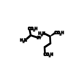 CC(C)C(N)C(=O)O.N[C@@H](CCC(=O)O)C(=O)O